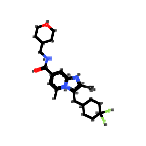 Cc1cc(C(=O)NCC2CCOCC2)cc2nc(C(F)(F)F)c(CC3CCC(F)(F)CC3)n12